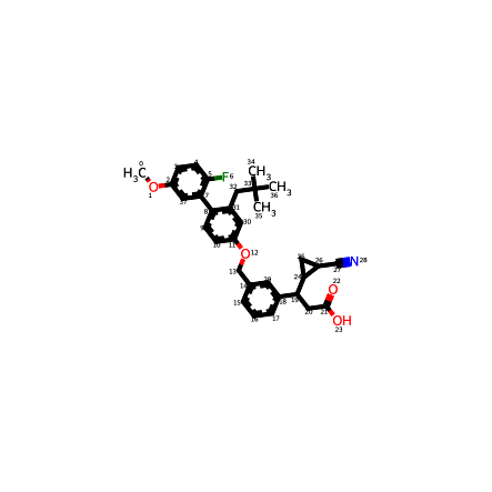 COc1ccc(F)c(-c2ccc(OCc3cccc(C(CC(=O)O)C4CC4C#N)c3)cc2CC(C)(C)C)c1